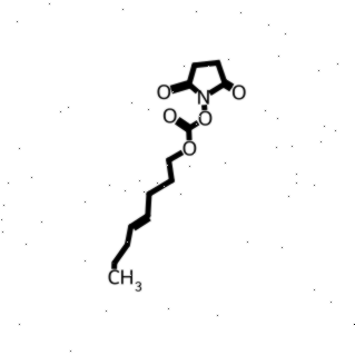 CCCC=CCCCOC(=O)ON1C(=O)CCC1=O